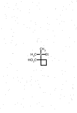 CCS(C)(C)C1(C(=O)O)CCC1